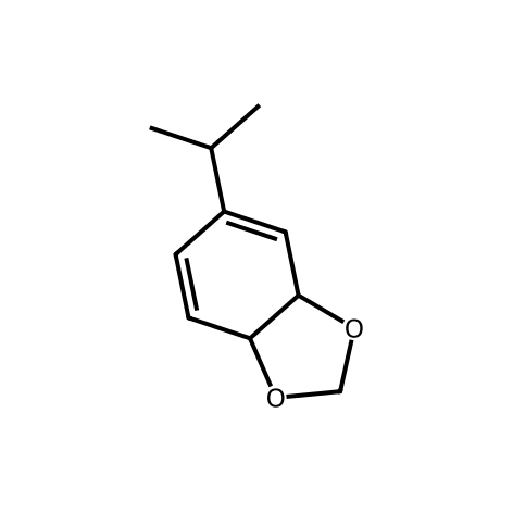 CC(C)C1=CC2OCOC2C=C1